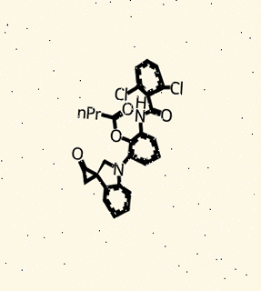 CCCC(=O)Oc1c(NC(=O)c2c(Cl)cccc2Cl)cccc1N1C[C@]2(CC2=O)c2ccccc21